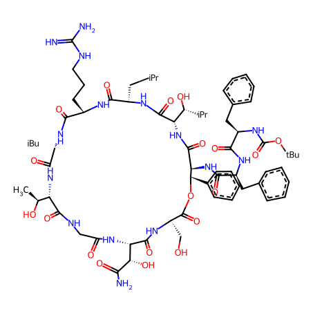 CC[C@H](C)[C@@H]1NC(=O)[C@@H](CCCNC(=N)N)NC(=O)[C@H](CC(C)C)NC(=O)[C@H]([C@H](O)C(C)C)NC(=O)[C@@H](NC(=O)[C@H](Cc2ccccc2)NC(=O)[C@@H](Cc2ccccc2)NC(=O)OC(C)(C)C)[C@@H](c2ccccc2)OC(=O)[C@H](CO)NC(=O)[C@H]([C@H](O)C(N)=O)NC(=O)CNC(=O)[C@H]([C@H](C)O)NC1=O